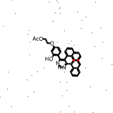 CC(=O)OCCOc1ccc(-c2nnnc(-c3cccc4ccccc34)c2-c2cccc3ccccc23)c(O)c1